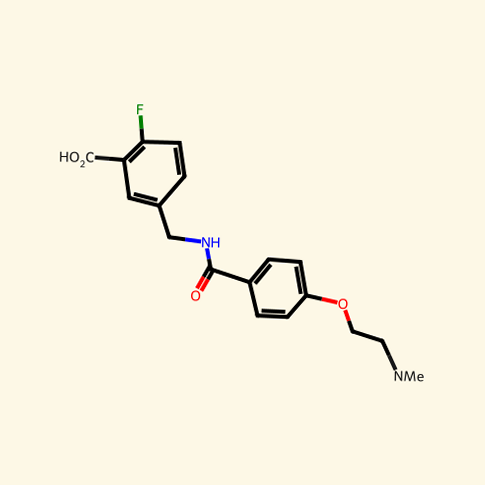 CNCCOc1ccc(C(=O)NCc2ccc(F)c(C(=O)O)c2)cc1